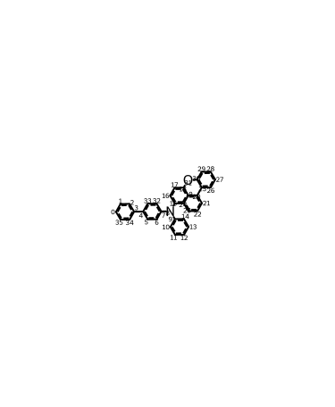 c1ccc(-c2ccc(N(c3ccccc3)c3ccc4c5c(cccc35)-c3ccccc3O4)cc2)cc1